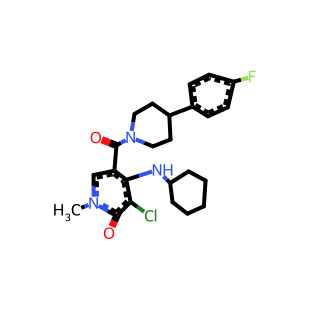 Cn1cc(C(=O)N2CCC(c3ccc(F)cc3)CC2)c(NC2CCCCC2)c(Cl)c1=O